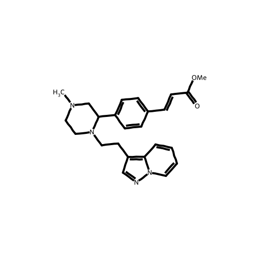 COC(=O)C=Cc1ccc(C2CN(C)CCN2CCc2cnn3ccccc23)cc1